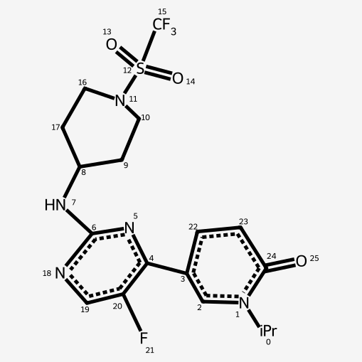 CC(C)n1cc(-c2nc(NC3CCN(S(=O)(=O)C(F)(F)F)CC3)ncc2F)ccc1=O